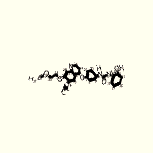 [C-]#[N+]c1cc2c(Oc3ccc(NC(=O)Nc4ccccc4O)cc3)ccnc2cc1OCCOC